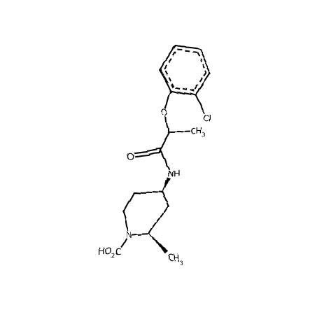 CC(Oc1ccccc1Cl)C(=O)N[C@@H]1CCN(C(=O)O)[C@H](C)C1